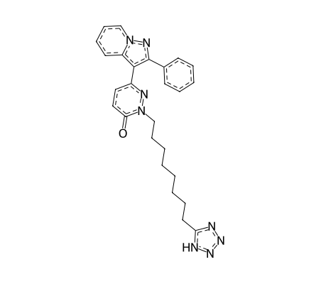 O=c1ccc(-c2c(-c3ccccc3)nn3ccccc23)nn1CCCCCCCCc1nnn[nH]1